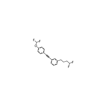 FC(F)CCCc1cccc(C#Cc2ccc(OC(F)F)cc2)c1